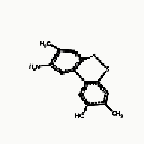 Cc1cc2c(cc1N)-c1cc(O)c(C)cc1SS2